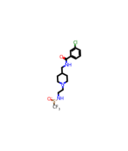 O=C(NCC1CCN(CCN[S+]([O-])C(F)(F)F)CC1)c1cccc(Cl)c1